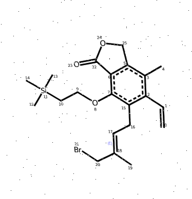 C=Cc1c(C)c2c(c(OCC[Si](C)(C)C)c1C/C=C(\C)CBr)C(=O)OC2